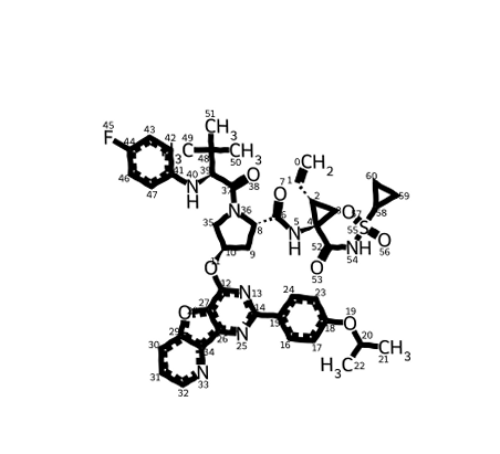 C=C[C@@H]1C[C@]1(NC(=O)[C@@H]1C[C@@H](Oc2nc(-c3ccc(OC(C)C)cc3)nc3c2oc2cccnc23)CN1C(=O)[C@@H](Nc1ccc(F)cc1)C(C)(C)C)C(=O)NS(=O)(=O)C1CC1